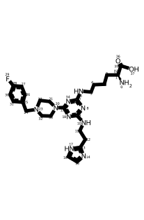 N[C@@H](CCCCNc1nc(NCCc2ncc[nH]2)nc(N2CCN(Cc3ccc(F)cc3)CC2)n1)C(=O)O